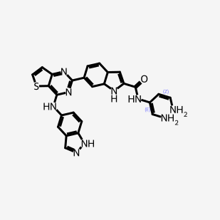 N/C=C\C(=C/N)NC(=O)C1=CC2C=CC(c3nc(Nc4ccc5[nH]ncc5c4)c4sccc4n3)=CC2N1